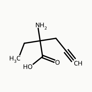 C#CCC(N)(CC)C(=O)O